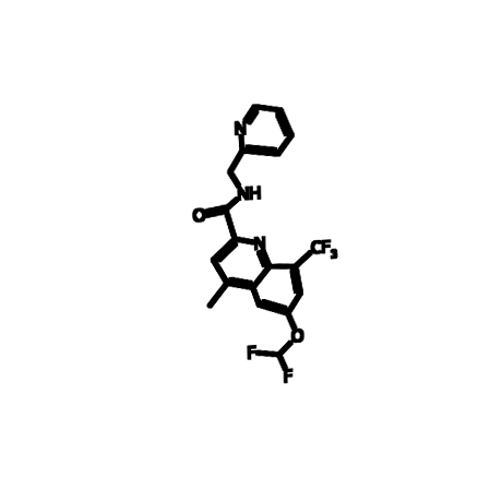 Cc1cc(C(=O)NCc2ccccn2)nc2c(C(F)(F)F)cc(OC(F)F)cc12